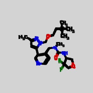 Cc1cc(-c2cnccc2CN(C)C(=O)NC2COCC2(F)F)n(COCC[Si](C)(C)C)n1